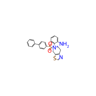 Nc1ccccc1[N+]1(S(=O)(=O)c2ccc(-c3ccccc3)cc2)CCc2ncsc2C1